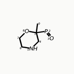 CC1(P=O)CNCCO1